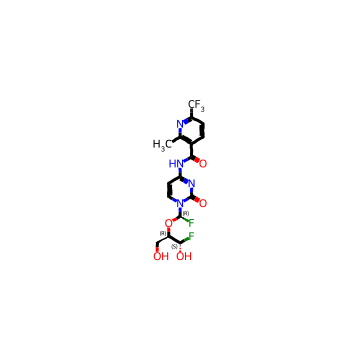 Cc1nc(C(F)(F)F)ccc1C(=O)Nc1ccn([C@@H](F)O[C@H](CO)[C@@H](O)F)c(=O)n1